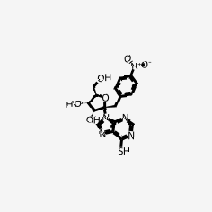 O=[N+]([O-])c1ccc(C[C@]2(n3cnc4c(S)ncnc43)O[C@H](CO)[C@@H](O)[C@H]2O)cc1